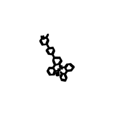 Cc1cc(-c2ccc(-c3ccc4c(c3)-c3ccccc3P3(=O)c5ccccc5-c5ccccc5N43)cc2)ccn1